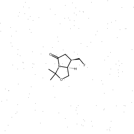 CC1(C)OC[C@@H]2[C@H](CF)CC(=O)N21